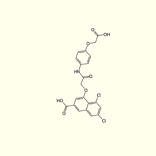 O=C(O)COc1ccc(NC(=O)COc2cc(C(=O)O)cc3cc(Cl)cc(Cl)c23)cc1